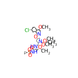 C=C[C@@H]1C[C@]1(NC(=O)C1C[C@@H](Oc2ncc(OC)c3ccc(Cl)cc23)CN1C(=O)OC(C)(C)C)C(=O)NS(=O)(=O)C1CC1